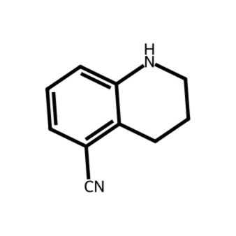 N#Cc1cccc2c1CCCN2